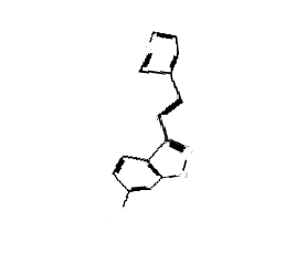 O=Cc1ccc2c(C=Cc3cccnc3)n[nH]c2c1